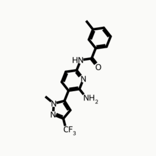 Cc1cccc(C(=O)Nc2ccc(-c3cc(C(F)(F)F)nn3C)c(N)n2)c1